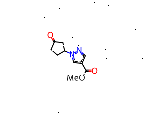 COC(=O)c1cnn(C2CCC(=O)C2)c1